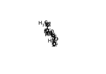 Cn1cc(-c2cnc(N)c(C(=O)N[C@@H]3CCN(C(=O)Nc4ccccc4)C3)c2)cn1